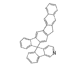 c1ccc2c(c1)-c1cnccc1C21c2ccccc2-c2cc3c(cc21)Cc1cc2ccccc2cc1-3